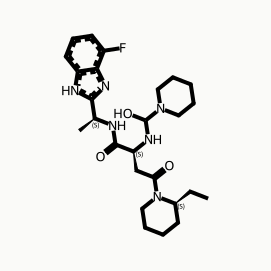 CC[C@H]1CCCCN1C(=O)C[C@H](NC(O)N1CCCCC1)C(=O)N[C@@H](C)c1nc2c(F)cccc2[nH]1